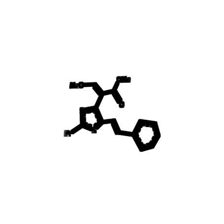 CO/C=C(/C(=O)OC)c1sc(C(C)C)nc1/C=C/c1ccccc1